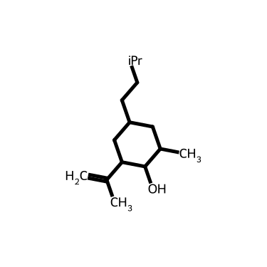 C=C(C)C1CC(CCC(C)C)CC(C)C1O